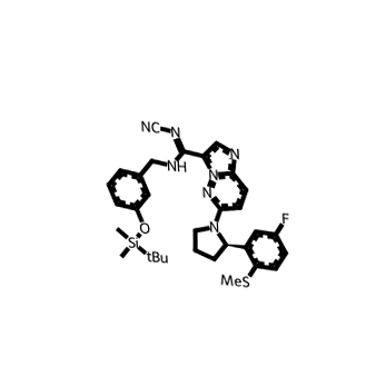 CSc1ccc(F)cc1[C@H]1CCCN1c1ccc2ncc(/C(=N/C#N)NCc3cccc(O[Si](C)(C)C(C)(C)C)c3)n2n1